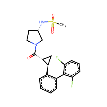 CS(=O)(=O)N[C@H]1CCN(C(=O)[C@@H]2C[C@H]2c2ccccc2-c2c(F)cccc2F)C1